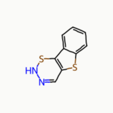 C1=NNSc2c1sc1ccccc21